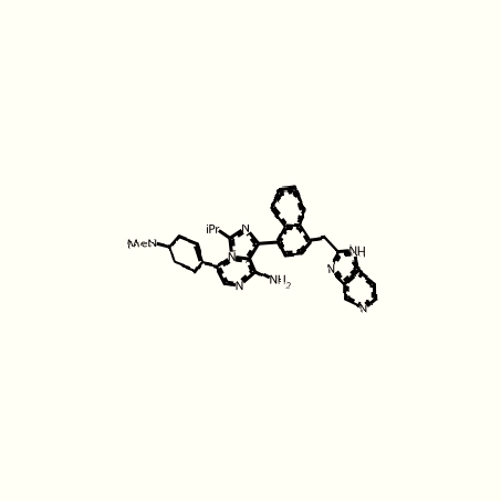 CNC1CC=C(c2cnc(N)c3c(-c4ccc(Cc5nc6cnccc6[nH]5)c5ccccc45)nc(C(C)C)n23)CC1